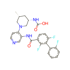 C[C@@H]1C[C@H](NC(=O)O)CN(c2ccncc2NC(=O)c2ccc(F)c(-c3ccccc3F)c2F)C1